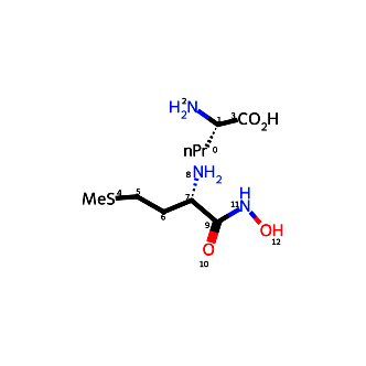 CCC[C@H](N)C(=O)O.CSCC[C@H](N)C(=O)NO